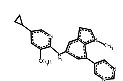 Cn1ccc2cc(Nc3ncc(C4CC4)cc3C(=O)O)cc(-c3cncnc3)c21